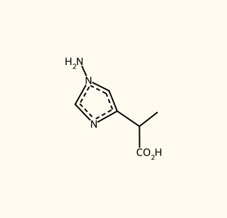 CC(C(=O)O)c1cn(N)cn1